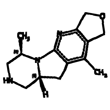 Cc1c2c(nc3c1C[C@@H]1CNC[C@@H](C)N31)COC2